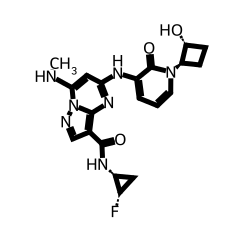 CNc1cc(Nc2cccn([C@@H]3CC[C@H]3O)c2=O)nc2c(C(=O)N[C@@H]3C[C@@H]3F)cnn12